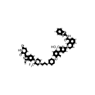 Cc1c(O[C@H]2CC[C@H](CCCN3CCN(c4ccc5c(C6CCC(=O)NC6=O)nn(C)c5c4)[C@H](C(F)(F)F)C3)CC2)cccc1-c1ccc(N2CCc3cccc(C(=O)Nc4nc5ccccc5s4)c3C2)nc1C(=O)O